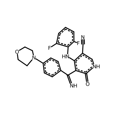 N#Cc1c[nH]c(=O)c(C(=N)c2ccc(N3CCOCC3)cc2)c1Nc1c(F)cccc1F